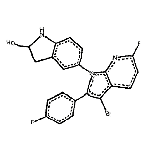 OC1Cc2cc(-n3c(-c4ccc(F)cc4)c(Br)c4ccc(F)nc43)ccc2N1